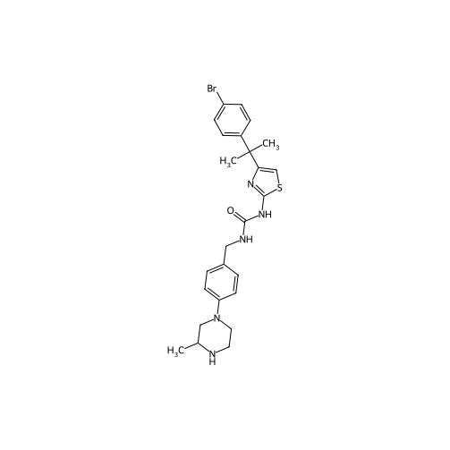 CC1CN(c2ccc(CNC(=O)Nc3nc(C(C)(C)c4ccc(Br)cc4)cs3)cc2)CCN1